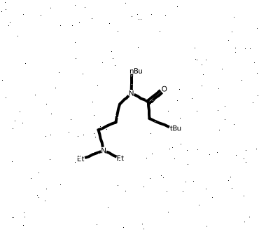 CCCCN(CCCN(CC)CC)C(=O)CC(C)(C)C